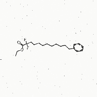 CCOC(=O)C(F)(F)CCCCCCCCCCc1ccccc1